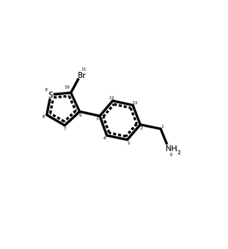 NCc1ccc(-c2ccsc2Br)cc1